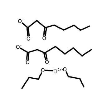 CCCCCC(=O)CC(=O)[O-].CCCCCC(=O)CC(=O)[O-].CCC[O][Ti+2][O]CCC